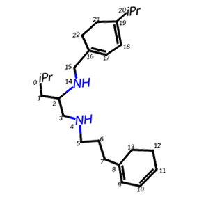 CC(C)CC(CNCCCC1=CC=CCC1)NCC1=CC=C(C(C)C)CC1